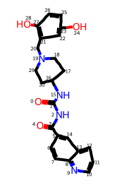 O=C(NC(=O)c1ccc2ncccc2c1)NC1CCN(Cc2cc(O)ccc2O)CC1